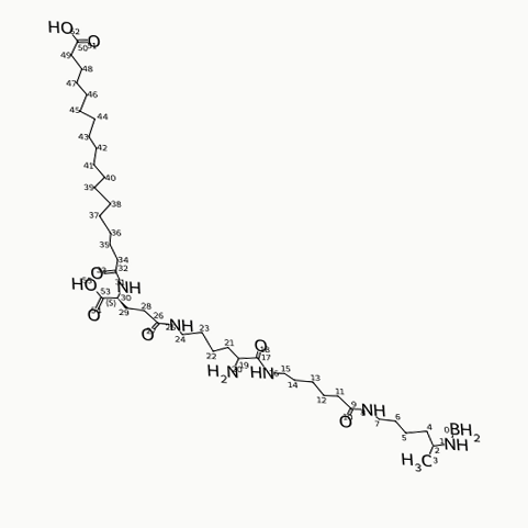 BNC(C)CCCCNC(=O)CCCCCNC(=O)C(N)CCCCNC(=O)CC[C@H](NC(=O)CCCCCCCCCCCCCCCCC(=O)O)C(=O)O